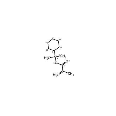 C=C(C)C(=O)O[Si](C)(C)C1CCCCC1